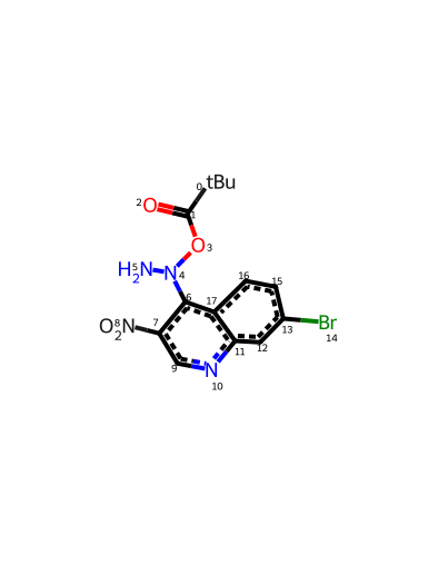 CC(C)(C)C(=O)ON(N)c1c([N+](=O)[O-])cnc2cc(Br)ccc12